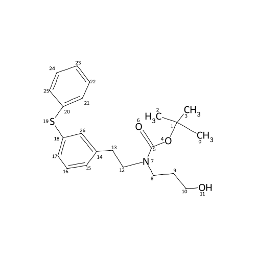 CC(C)(C)OC(=O)N(CCCO)CCc1cccc(Sc2ccccc2)c1